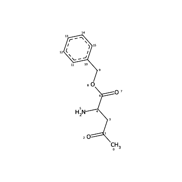 CC(=O)CC(N)C(=O)OCc1ccccc1